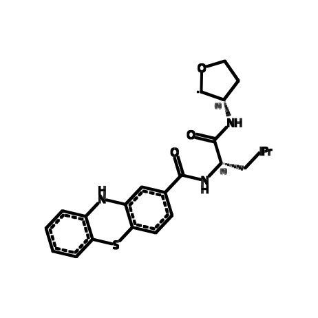 CC(C)C[C@H](NC(=O)c1ccc2c(c1)Nc1ccccc1S2)C(=O)N[C@@H]1[CH]OCC1